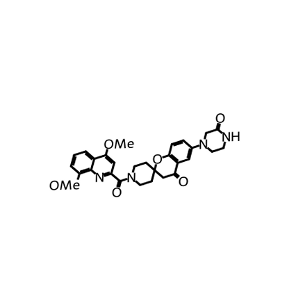 COc1cc(C(=O)N2CCC3(CC2)CC(=O)c2cc(N4CCNC(=O)C4)ccc2O3)nc2c(OC)cccc12